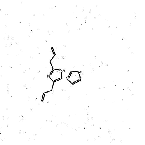 C=CCc1c[nH]c(CC=C)n1.c1c[nH]cn1